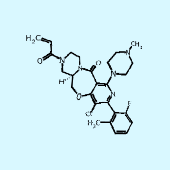 C=CC(=O)N1CCN2C(=O)c3c(N4CCN(C)CC4)nc(-c4c(C)cccc4F)c(Cl)c3OC[C@H]2C1